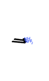 CCCCCCCCCCCCCCCCc1ccc(N)cc1.CCCCCCCCCCCCc1ccc(N)cc1